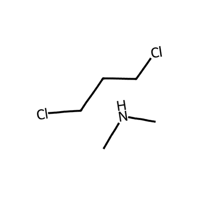 CNC.ClCCCCl